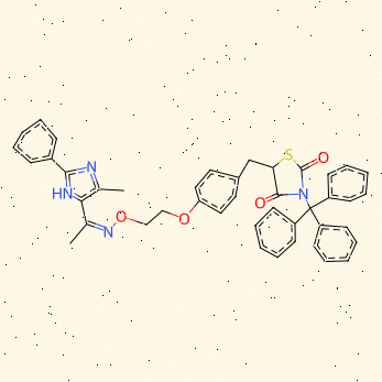 CC(=NOCCOc1ccc(CC2SC(=O)N(C(c3ccccc3)(c3ccccc3)c3ccccc3)C2=O)cc1)c1[nH]c(-c2ccccc2)nc1C